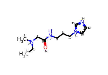 CCN(C)CC(=O)NCCCn1ccnc1